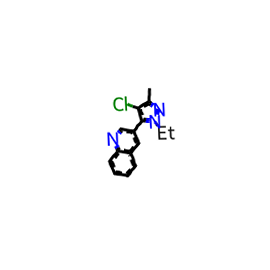 CCn1nc(C)c(Cl)c1-c1cnc2ccccc2c1